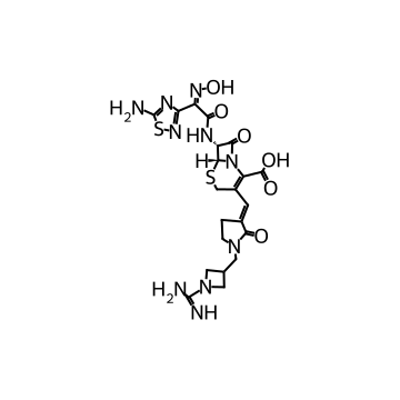 N=C(N)N1CC(CN2CCC(=CC3=C(C(=O)O)N4C(=O)[C@@H](NC(=O)/C(=N\O)c5nsc(N)n5)[C@H]4SC3)C2=O)C1